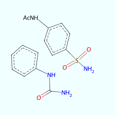 CC(=O)Nc1ccc(S(N)(=O)=O)cc1.NC(=O)Nc1ccccc1